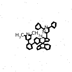 Cc1cc(-c2ccccc2-c2ccc3c(c2)C2(c4ccccc4-c4ccccc42)c2cccc(-c4cc(-c5ccccc5)nc(-c5ccccc5)n4)c2S3)cc(C)n1